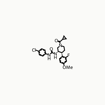 COc1ccc([C@@H]2CCN(C(=O)C3CC3)C[C@H]2NC(=O)Nc2ccc(Cl)cc2)c(F)c1